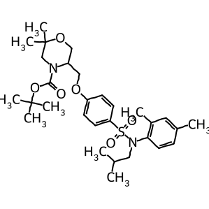 Cc1ccc(N(CC(C)C)S(=O)(=O)c2ccc(OCC3COC(C)(C)CN3C(=O)OC(C)(C)C)cc2)c(C)c1